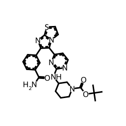 CC(C)(C)OC(=O)N1CCCC(Nc2nccc(-c3c(-c4cccc(C(N)=O)c4)nc4sccn34)n2)C1